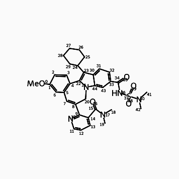 COc1ccc2c(c1)C=C(c1ncccc1C(=O)N(C)C)Cn1c-2c(C2CCCCC2)c2ccc(C(=O)NS(=O)(=O)N(C)C)cc21